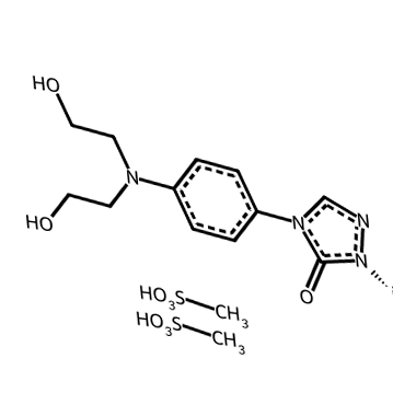 CC[C@@H](C)n1ncn(-c2ccc(N(CCO)CCO)cc2)c1=O.CS(=O)(=O)O.CS(=O)(=O)O